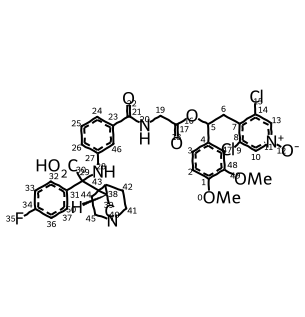 COc1ccc(C(Cc2c(Cl)c[n+]([O-])cc2Cl)OC(=O)CNC(=O)c2cccc(NC(C(=O)O)(c3ccc(F)cc3)[C@H]3CN4CCC3CC4)c2)cc1OC